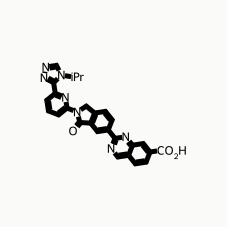 CC(C)n1cnnc1-c1cccc(N2Cc3ccc(-c4ncc5ccc(C(=O)O)cc5n4)cc3C2=O)n1